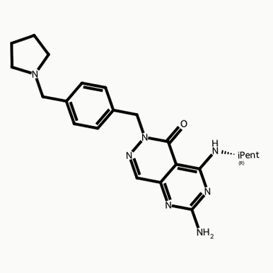 CCC[C@@H](C)Nc1nc(N)nc2cnn(Cc3ccc(CN4CCCC4)cc3)c(=O)c12